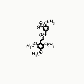 COc1cc(OC)c(C=C[S+]([O-])Cc2ccc(OC)c([N+](=O)[O-])c2)c(OC)c1